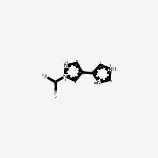 FC(F)n1cc(-c2c[nH]cn2)cn1